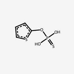 OP(O)(=S)Oc1cccs1